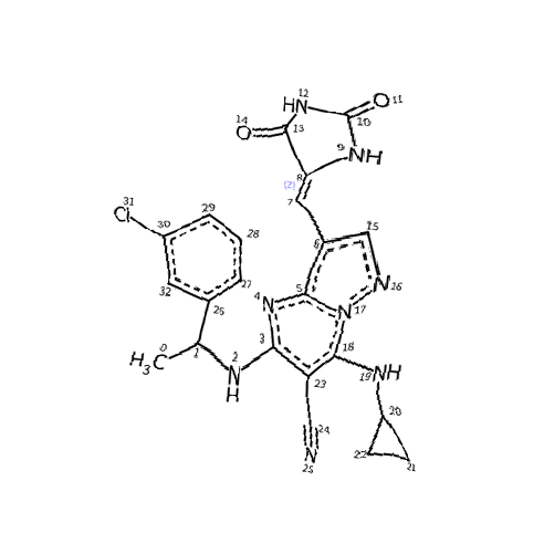 CC(Nc1nc2c(/C=C3\NC(=O)NC3=O)cnn2c(NC2CC2)c1C#N)c1cccc(Cl)c1